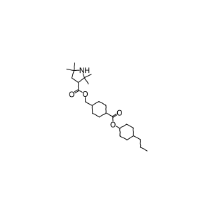 CCCC1CCC(OC(=O)C2CCC(COC(=O)C3CC(C)(C)NC3(C)C)CC2)CC1